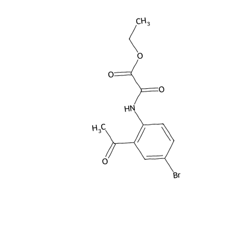 CCOC(=O)C(=O)Nc1ccc(Br)cc1C(C)=O